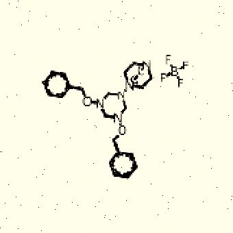 F[B-](F)(F)F.c1ccc(CON2CN(OCc3ccccc3)CN([N+]34CCN(CC3)CC4)C2)cc1